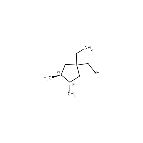 C[C@H]1CC(CN)(CS)C[C@@H]1C